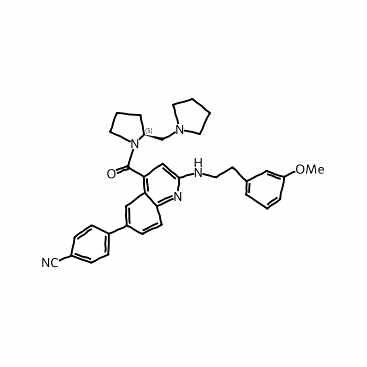 COc1cccc(CCNc2cc(C(=O)N3CCC[C@H]3CN3CCCC3)c3cc(-c4ccc(C#N)cc4)ccc3n2)c1